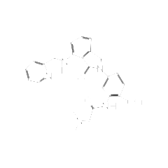 CN(C)CC(=O)Nc1cc(N2Cc3cccc(NCc4ccccn4)c3C2=O)ccc1C(C)(C)C